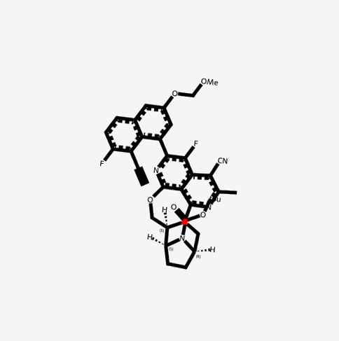 C#Cc1c(F)ccc2cc(OCOC)cc(-c3nc4c5c(nc(C)c(C#N)c5c3F)N3C[C@H]5CC[C@@H]([C@H]3CO4)N5C(=O)OC(C)(C)C)c12